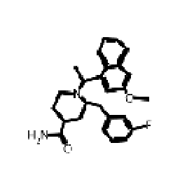 COc1cc(C(C)N2CCC(C(N)=O)CC2Cc2cccc(F)c2)c2ccccc2c1